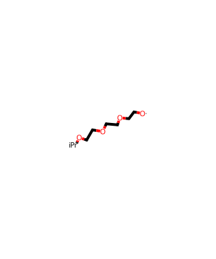 CC(C)OCCOCCOCC[O]